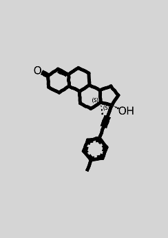 Cc1ccc(C#C[C@]2(O)CCC3C4CCC5=CC(=O)CCC5C4CC[C@@]32C)cc1